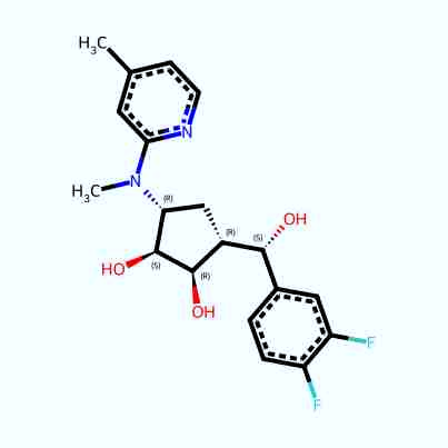 Cc1ccnc(N(C)[C@@H]2C[C@H]([C@H](O)c3ccc(F)c(F)c3)[C@@H](O)[C@H]2O)c1